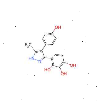 Oc1ccc(-c2c(-c3ccc(O)c(O)c3O)n[nH]c2C(F)(F)F)cc1